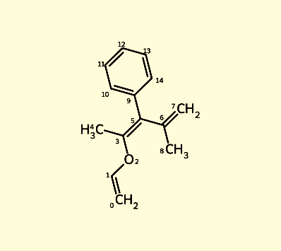 C=CO/C(C)=C(\C(=C)C)c1ccccc1